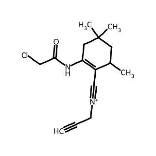 C#CC[N+]#CC1=C(NC(=O)CCl)CC(C)(C)CC1C